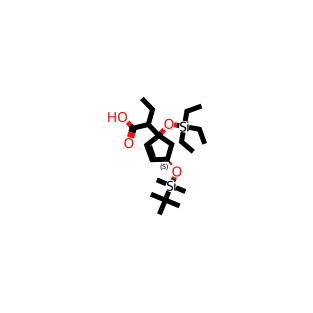 CCC(C(=O)O)C1(O[Si](CC)(CC)CC)C=C[C@@H](O[Si](C)(C)C(C)(C)C)C1